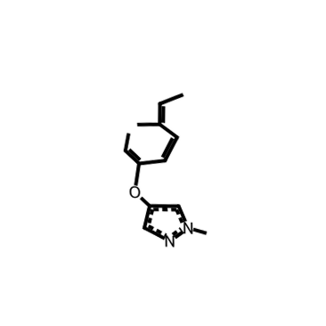 C\C=C(C)/C=C\C(=C/C)Oc1cnn(C)c1